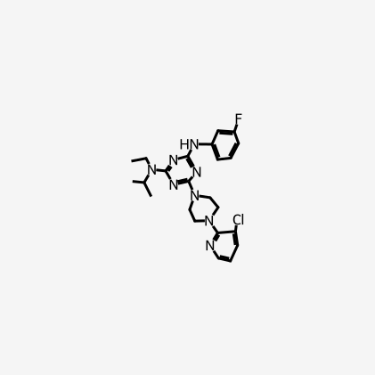 CCN(c1nc(Nc2cccc(F)c2)nc(N2CCN(c3ncccc3Cl)CC2)n1)C(C)C